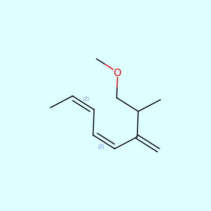 C=C(/C=C\C=C/C)C(C)COC